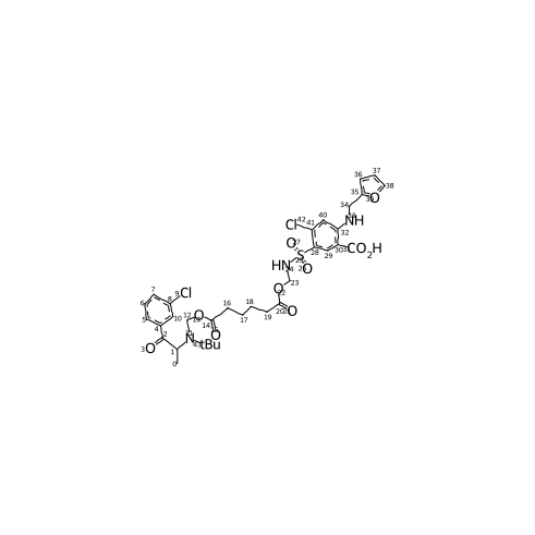 CC(C(=O)c1cccc(Cl)c1)N(COC(=O)CCCCC(=O)OCNS(=O)(=O)c1cc(C(=O)O)c(NCc2ccco2)cc1Cl)C(C)(C)C